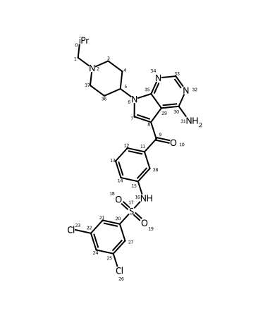 CC(C)CN1CCC(n2cc(C(=O)c3cccc(NS(=O)(=O)c4cc(Cl)cc(Cl)c4)c3)c3c(N)ncnc32)CC1